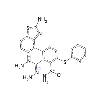 N/N=C(\NN)c1c(-c2cccc3sc(N)nc23)ccc(Sc2ccccn2)c1[S+](N)[O-]